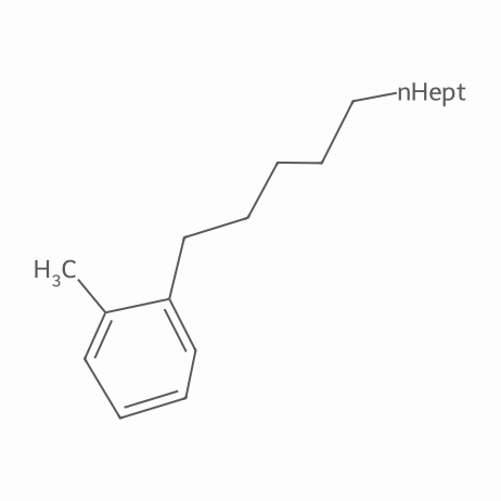 CCCCCCCCCCCCc1ccccc1C